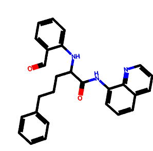 O=Cc1ccccc1NC(CCCc1ccccc1)C(=O)Nc1cccc2cccnc12